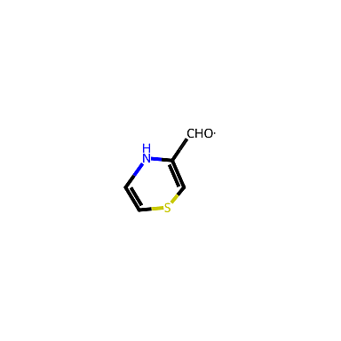 O=[C]C1=CSC=CN1